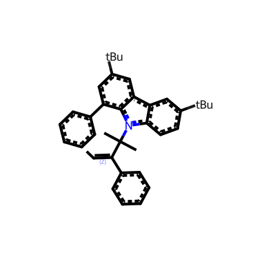 C/C=C(/c1ccccc1)C(C)(C)n1c2ccc(C(C)(C)C)cc2c2cc(C(C)(C)C)cc(-c3ccccc3)c21